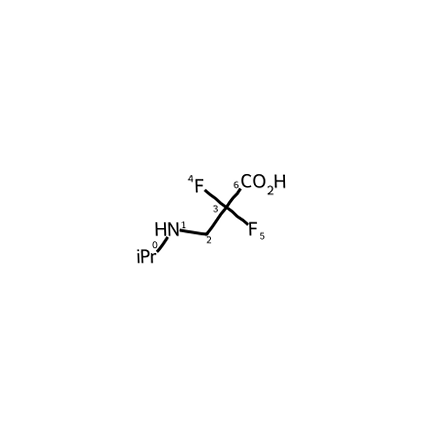 CC(C)NCC(F)(F)C(=O)O